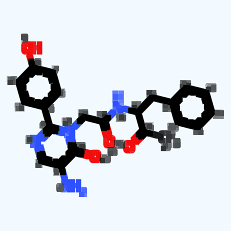 Nc1cnc(-c2ccc(O)cc2)n(CC(=O)NC(Cc2ccccc2)C(=O)C(F)(F)F)c1=O